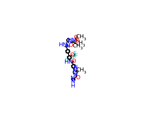 COC(=O)N[C@H](C(=O)N1CCC[C@H]1C1=NC(c2ccc(-c3cc(F)c(NC(=O)c4ccc(N5CCN(C(=O)c6c[nH]cn6)C[C@H]5C)nc4)cc3OC(F)(F)F)cc2)CN1)C(C)C